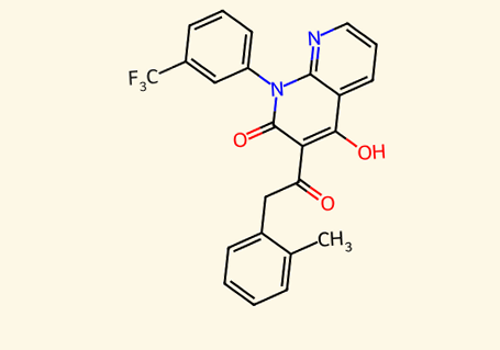 Cc1ccccc1CC(=O)c1c(O)c2cccnc2n(-c2cccc(C(F)(F)F)c2)c1=O